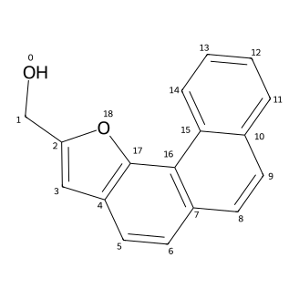 OCc1cc2ccc3ccc4ccccc4c3c2o1